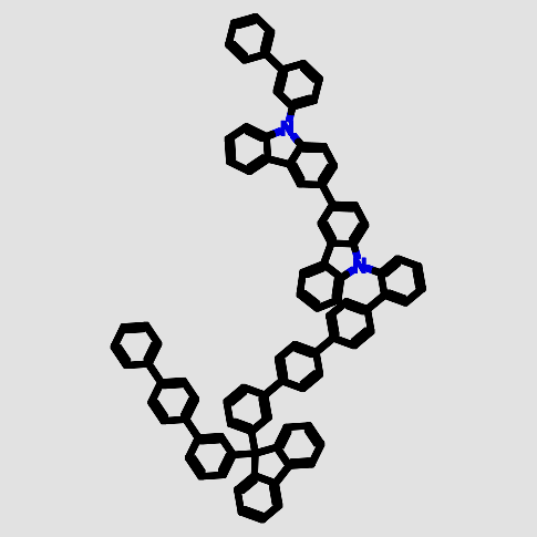 c1ccc(-c2ccc(-c3cccc(C4(c5cccc(-c6ccc(-c7ccc(-c8ccccc8-n8c9ccccc9c9cc(-c%10ccc%11c(c%10)c%10ccccc%10n%11-c%10cccc(-c%11ccccc%11)c%10)ccc98)cc7)cc6)c5)c5ccccc5-c5ccccc54)c3)cc2)cc1